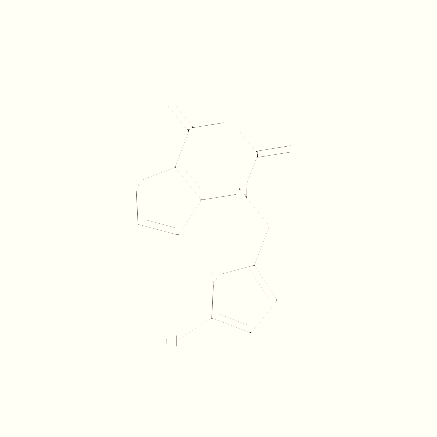 O=c1oc(=O)n(Cc2ccc(Cl)s2)c2ccsc12